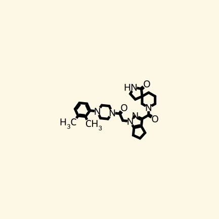 Cc1cccc(N2CCN(C(=O)Cn3nc(C(=O)N4CCCC5(CCNC5=O)C4)c4c3CCC4)CC2)c1C